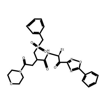 CC[C@H](NC(=O)C(CC(=O)N1CCOCC1)CS(=O)(=O)Cc1ccccc1)C(=O)c1noc(-c2ccccc2)n1